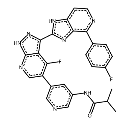 CC(C)C(=O)Nc1cncc(-c2cnc3[nH]nc(-c4nc5c(-c6ccc(F)cc6)nccc5[nH]4)c3c2F)c1